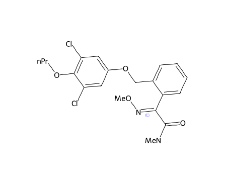 CCCOc1c(Cl)cc(OCc2ccccc2/C(=N\OC)C(=O)NC)cc1Cl